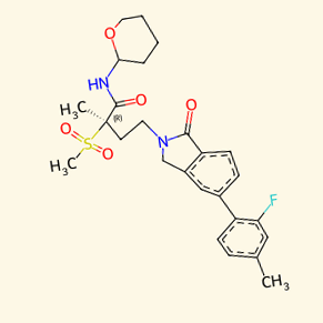 Cc1ccc(-c2ccc3c(c2)CN(CC[C@](C)(C(=O)NC2CCCCO2)S(C)(=O)=O)C3=O)c(F)c1